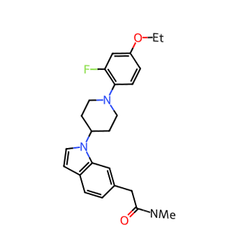 CCOc1ccc(N2CCC(n3ccc4ccc(CC(=O)NC)cc43)CC2)c(F)c1